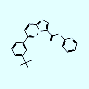 O=C(Nc1ccccn1)c1cnc2ccc(-c3cccc(C(F)(F)F)c3)nn12